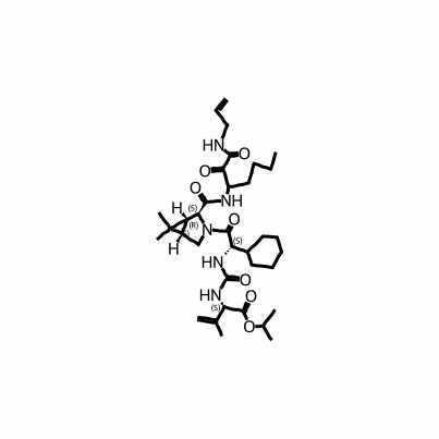 C=CCNC(=O)C(=O)C(CCCC)NC(=O)[C@@H]1[C@@H]2[C@H](CN1C(=O)[C@@H](NC(=O)N[C@@H](C(=C)C)C(=O)OC(C)C)C1CCCCC1)C2(C)C